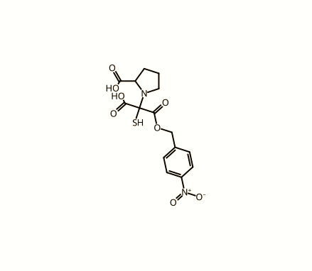 O=C(O)C1CCCN1C(S)(C(=O)O)C(=O)OCc1ccc([N+](=O)[O-])cc1